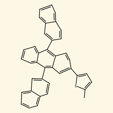 Cc1ccc(-c2ccc3c(-c4ccc5ccccc5c4)c4ccccc4c(-c4ccc5ccccc5c4)c3c2)s1